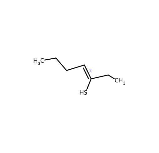 CCC/C=C(\S)CC